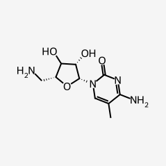 Cc1cn([C@@H]2O[C@H](CN)C(O)[C@@H]2O)c(=O)nc1N